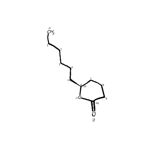 CCCCCC[C@H]1CCCC(=O)O1